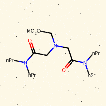 CCCN(CCC)C(=O)CN(CC(=O)O)CC(=O)N(CCC)CCC